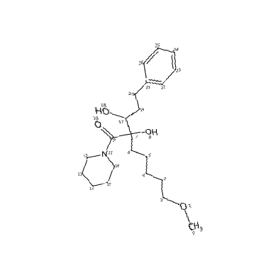 COCCCCCC(O)(C(=O)N1CCCCC1)C(O)CCc1ccccc1